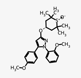 COc1ccc(-c2cc(O[C@H]3CC(C)(C)[S@+]([O-])C(C)(C)C3)nn2-c2ccccc2OC)cc1